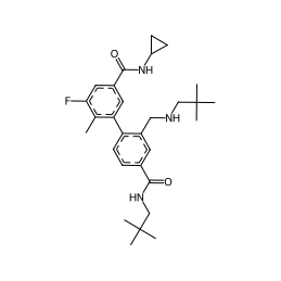 Cc1c(F)cc(C(=O)NC2CC2)cc1-c1ccc(C(=O)NCC(C)(C)C)cc1CNCC(C)(C)C